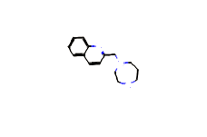 c1ccc2nc(CN3CCCNCC3)ccc2c1